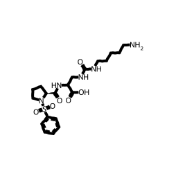 NCCCCCNC(=O)NCC(NC(=O)[C@@H]1CCCN1S(=O)(=O)c1ccccc1)C(=O)O